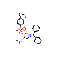 Cc1ccc(S(=O)(=O)OC2CN(C(c3ccccc3)c3ccccc3)CC2C)cc1